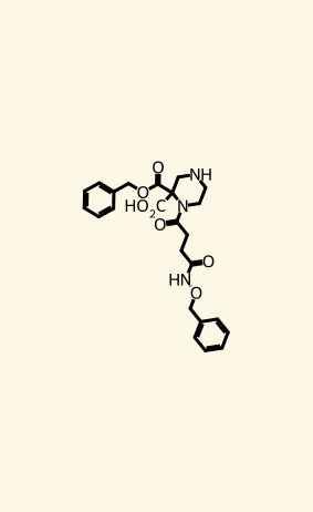 O=C(CCC(=O)N1CCNCC1(C(=O)O)C(=O)OCc1ccccc1)NOCc1ccccc1